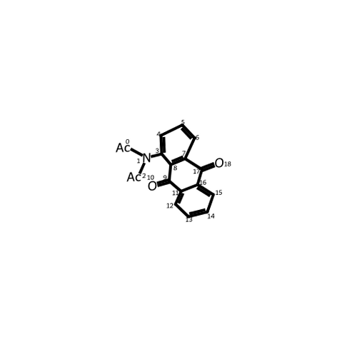 CC(=O)N(C(C)=O)c1cccc2c1C(=O)c1ccccc1C2=O